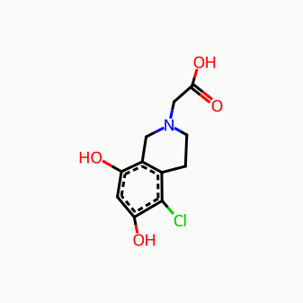 O=C(O)CN1CCc2c(Cl)c(O)cc(O)c2C1